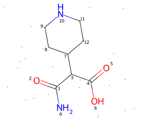 NC(=O)C(C(=O)O)C1CCNCC1